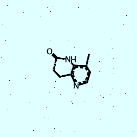 Cc1ccnc2c1NC(=O)CC2